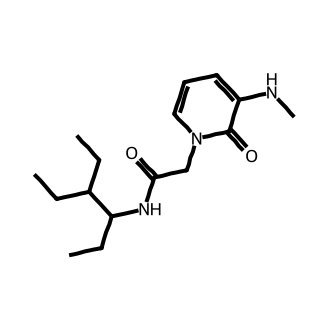 CCC(CC)C(CC)NC(=O)Cn1cccc(NC)c1=O